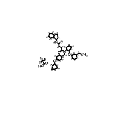 NCc1cccc(Oc2ccccc2N(Cc2ccc(Oc3ccccc3)cc2)C(=O)CCC(=O)NC2CCc3ccccc32)c1.O=C(O)C(F)(F)F